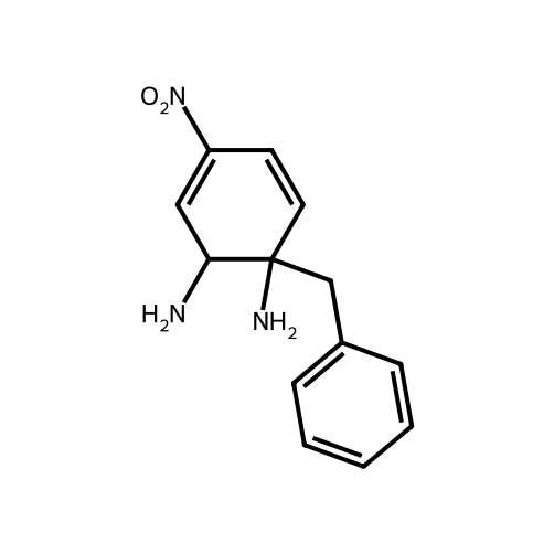 NC1C=C([N+](=O)[O-])C=CC1(N)Cc1ccccc1